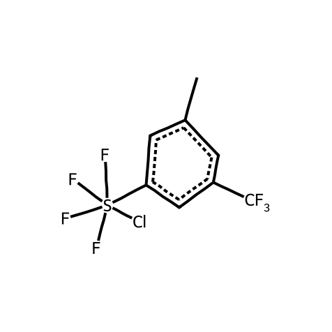 Cc1cc(C(F)(F)F)cc(S(F)(F)(F)(F)Cl)c1